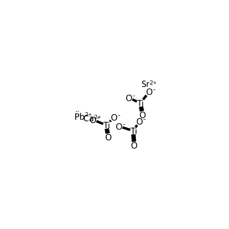 [Ca+2].[O]=[Ti]([O-])[O-].[O]=[Ti]([O-])[O-].[O]=[Ti]([O-])[O-].[Pb+2].[Sr+2]